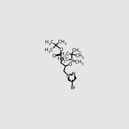 CC(C)(C)OC(=O)NCC(Cn1cc(Br)cn1)O[Si](C)(C)C(C)(C)C